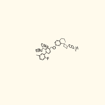 CO[C@@H](c1cc(COc2ccc3c(c2)[C@]2(CCC3)CC[C@H]2C(=O)O)ccc1-c1cc(C)ccc1F)C(C)(C)C